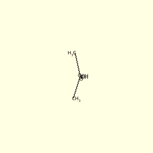 CCCCCCCCCCCCCCCCCCOC(CO)(CCCCCCCCCCCCCCCCCC)C(=O)O